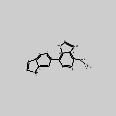 COc1ncc(-c2ccc3cc[nH]c3c2)c2scnc12